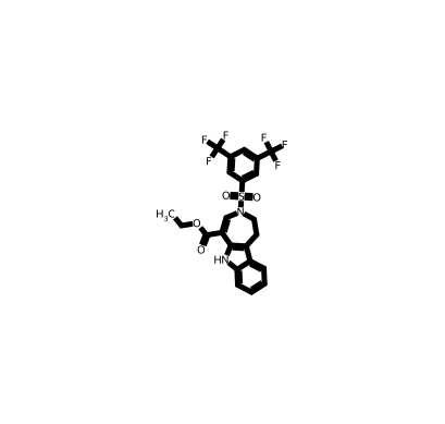 CCOC(=O)C1=CN(S(=O)(=O)c2cc(C(F)(F)F)cc(C(F)(F)F)c2)CCc2c1[nH]c1ccccc21